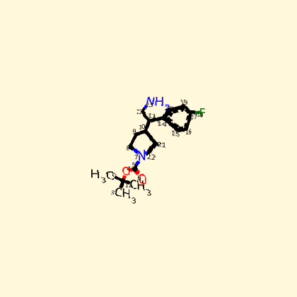 CC(C)(C)OC(=O)N1CCC(C(CN)c2ccc(F)cc2)CC1